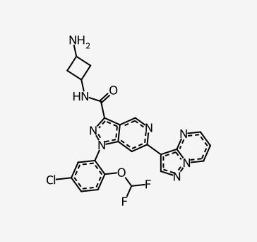 NC1CC(NC(=O)c2nn(-c3cc(Cl)ccc3OC(F)F)c3cc(-c4cnn5cccnc45)ncc23)C1